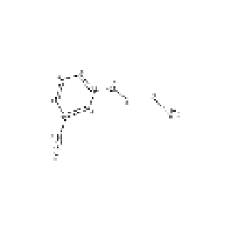 [C-]#[N+]c1cccc(OCCC)c1